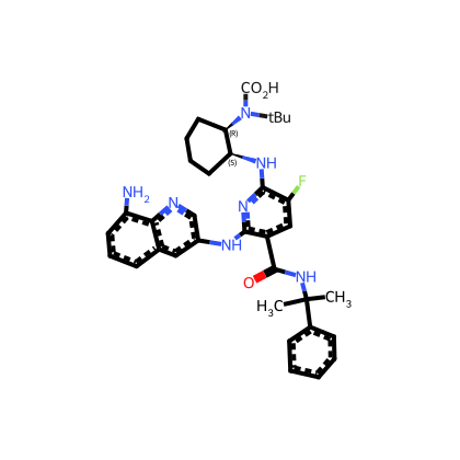 CC(C)(NC(=O)c1cc(F)c(N[C@H]2CCCC[C@H]2N(C(=O)O)C(C)(C)C)nc1Nc1cnc2c(N)cccc2c1)c1ccccc1